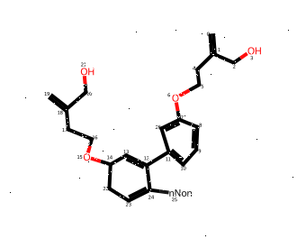 C=C(CO)CCOc1cccc(C2=CC(OCCC(=C)CO)CC=C2CCCCCCCCC)c1